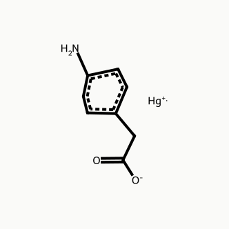 Nc1ccc(CC(=O)[O-])cc1.[Hg+]